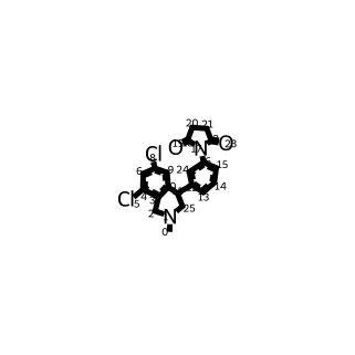 CN1Cc2c(Cl)cc(Cl)cc2C(c2cccc(N3C(=O)CCC3=O)c2)C1